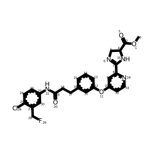 COC(=O)C1CN=C(c2cc(Oc3cccc(CCC(=O)Nc4ccc(Cl)c(CF)c4)c3)ccn2)N1